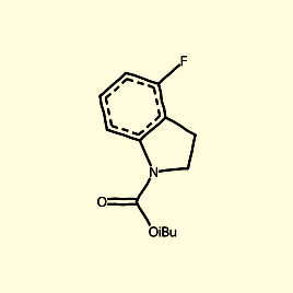 CC(C)COC(=O)N1CCc2c(F)cccc21